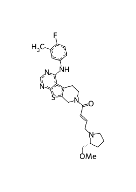 COC[C@H]1CCCN1C/C=C/C(=O)N1CCc2c(sc3ncnc(Nc4ccc(F)c(C)c4)c23)C1